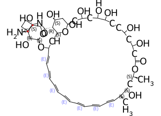 C[C@H]1C[C@H](O)[C@@H](C)/C=C/C=C/C=C/C=C/C=C/C=C/C=C/C(O[C@@H]2OC[C@@H](O)[C@H](N)[C@H]2O)C[C@@H]2OC(O)(CC(O)CC(O)C(O)CCC(O)CC(O)CC(=O)O1)C[C@H](O)[C@H]2C(=O)NC1CCC1